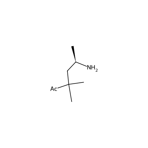 CC(=O)C(C)(C)C[C@@H](C)N